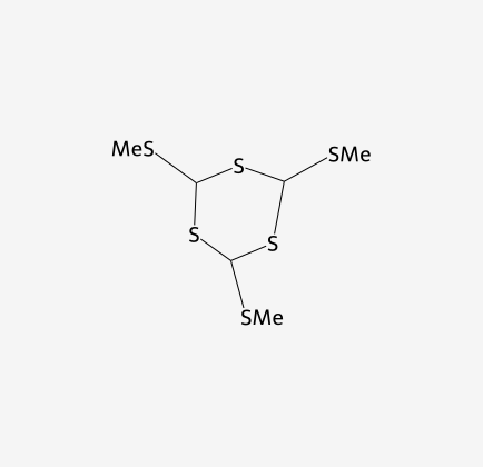 CSC1SC(SC)SC(SC)S1